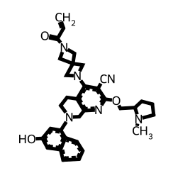 C=CC(=O)N1CC2(C1)CN(c1c(C#N)c(OCC3CCCN3C)nc3c1CCN(c1cc(O)cc4ccccc14)C3)C2